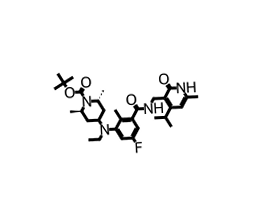 CCN(c1cc(F)cc(C(=O)NCc2c(C(C)C)cc(C)[nH]c2=O)c1C)C1C[C@@H](C)N(C(=O)OC(C)(C)C)[C@H](C)C1